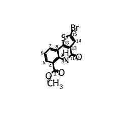 COC(=O)c1cccc2c1[nH]c(=O)c1cc(Br)sc12